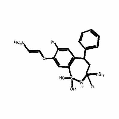 CCCCC1(CC)CC(c2ccccc2)c2cc(Br)c(O/C=C/C(=O)O)cc2S(O)(O)N1